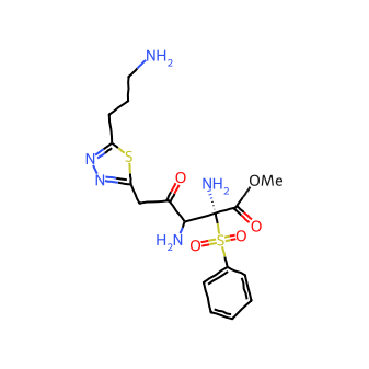 COC(=O)[C@](N)(C(N)C(=O)Cc1nnc(CCCN)s1)S(=O)(=O)c1ccccc1